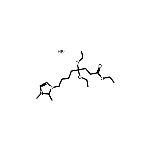 Br.CCOC(=O)CCC(CCCCN1C=CN(C)C1C)(OCC)OCC